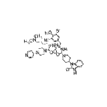 CN(C)CCCC[C@H](NC(=O)[C@@H](Cc1cc(Br)c(O)c(Br)c1)NC(=O)N1CCC(n2c(=O)[nH]c3ccccc32)CC1)C(=O)N1CCN(c2ccncc2)CC1